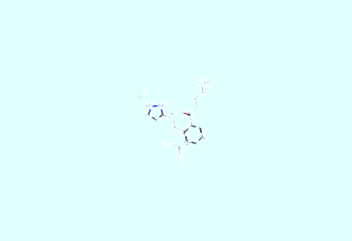 CCCOC(=O)c1cccc(C(F)F)c1COc1ccn(O)n1